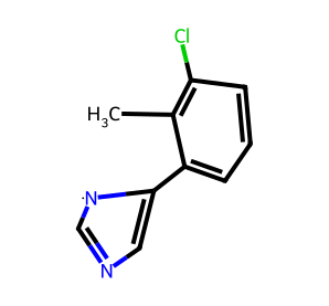 Cc1c(Cl)cccc1C1=CN=C[N]1